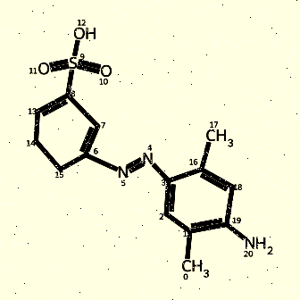 Cc1cc(/N=N/C2=CC(S(=O)(=O)O)=CCC2)c(C)cc1N